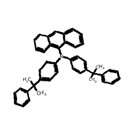 CC(C)(C1=CC=C(N(c2ccc(C(C)(C)c3ccccc3)cc2)c2c3ccccc3cc3ccccc23)CC1)c1ccccc1